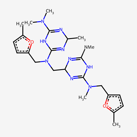 CNC1=NC(CN(Cc2ccc(C)o2)C2=NC(C)N=C(N(C)C)N2)N=C(N(C)Cc2ccc(C)o2)N1